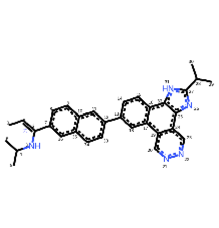 C/C=C(\NC(C)C)c1ccc2cc(-c3ccc4c(c3)c3cnncc3c3nc(C(C)C)[nH]c43)ccc2c1